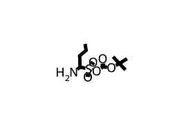 CCCC(N)S(=O)(=O)OC(=O)OC(C)(C)C